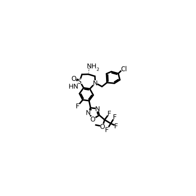 COC(F)(c1nc(-c2cc3c(cc2F)S(=N)(=O)C[C@H](N)CN3Cc2ccc(Cl)cc2)no1)C(F)(F)F